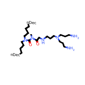 CCCCCCCCCCCCCCN(CCCCCCCCCCCCCC)C(=O)N(C)C(=O)CNCCCN(CCCN)CCCN